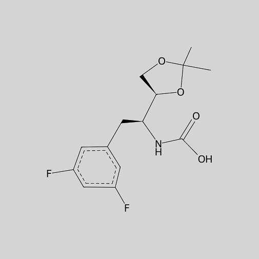 CC1(C)OC[C@H]([C@H](Cc2cc(F)cc(F)c2)NC(=O)O)O1